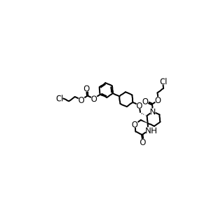 O=C1COC[C@@]2(CCCN(C(=O)OCCCl)[C@H]2COC2CCC(c3cccc(OC(=O)OCCCl)c3)CC2)N1